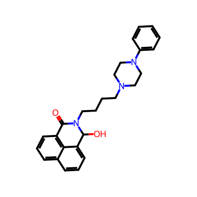 O=C1c2cccc3cccc(c23)C(O)N1CCCCN1CCN(c2ccccc2)CC1